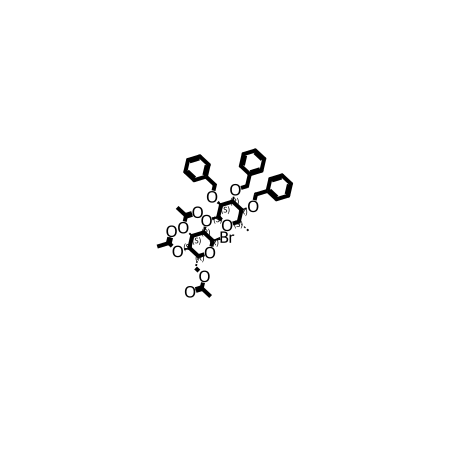 CC(=O)OC[C@H]1O[C@H](Br)[C@H](O[C@@H]2O[C@@H](C)[C@@H](OCc3ccccc3)[C@@H](OCc3ccccc3)[C@@H]2OCc2ccccc2)[C@@H](OC(C)=O)[C@H]1OC(C)=O